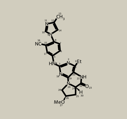 CCc1nc(Nc2ccc(-n3cnc(C)c3)c(C#N)c2)nc2c1NC(=O)[C@@H]1C[C@@H](OC)CN21